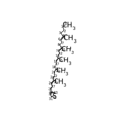 CCCC/C(C)=C/CC/C(C)=C/CC/C(C)=C/CC/C(C)=C/CC/C(C)=C/CCc1ccsc1